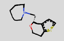 c1cc2c(s1)CCO[C@@H]2CN1CCCCC1